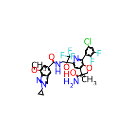 COc1cc(C(=O)NCC(O)(c2cc3c(c(-c4cc(Cl)cc(F)c4F)n2)OC[C@]3(C)C(N)=O)C(F)(F)F)cc2cn(C3CC3)nc12